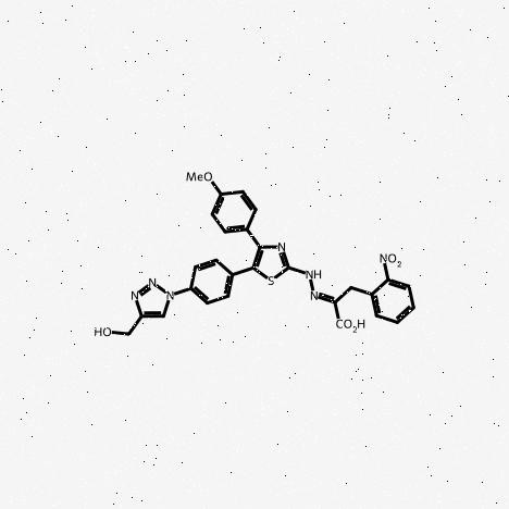 COc1ccc(-c2nc(NN=C(Cc3ccccc3[N+](=O)[O-])C(=O)O)sc2-c2ccc(-n3cc(CO)nn3)cc2)cc1